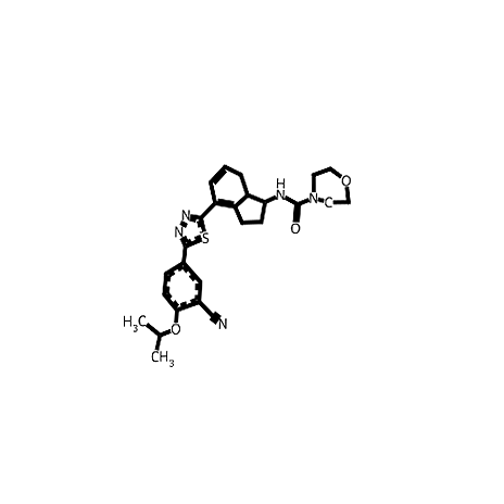 CC(C)Oc1ccc(-c2nnc(C3=C4CCC(NC(=O)N5CCOCC5)C4CC=C3)s2)cc1C#N